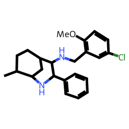 COc1ccc(Cl)cc1CNC1C2CCC(C)C(C2)NC1c1ccccc1